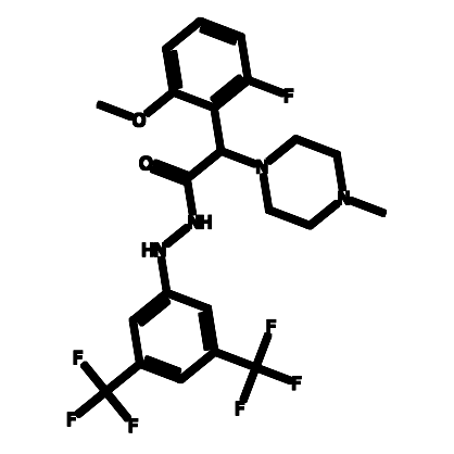 COc1cccc(F)c1C(C(=O)NNc1cc(C(F)(F)F)cc(C(F)(F)F)c1)N1CCN(C)CC1